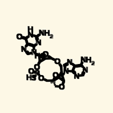 Nc1nc2c(ncn2C2OC3OCCC4C5OC[C@]4(COP(=O)(S)OC2C3O)OC5n2cnc3c(N)ncnc32)c(=O)[nH]1